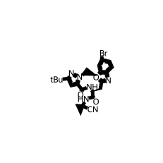 CC(C)(C)c1cc(C(=O)N[C@@H](Cc2nc3ccc(Br)cc3o2)C(=O)NC2(C#N)CC2)n(C2CC2)n1